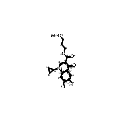 COCCCOC(=O)c1cn(C2CC2)c2cc(Cl)c(F)cc2c1=O